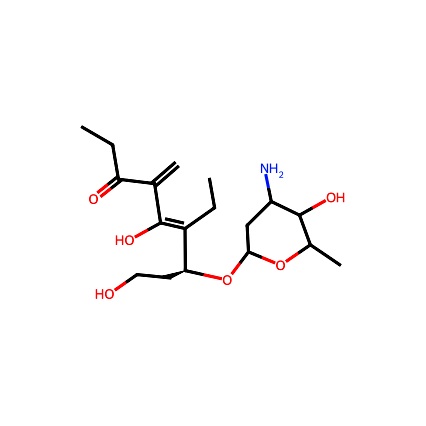 C=C(C(=O)CC)/C(O)=C(\CC)[C@H](CCO)OC1CC(N)C(O)C(C)O1